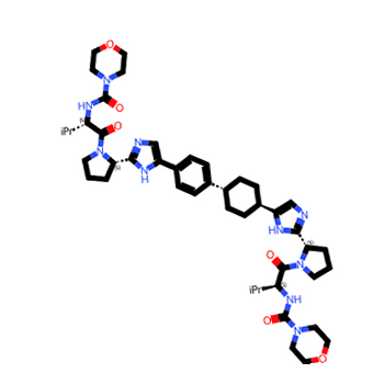 CC(C)[C@H](NC(=O)N1CCOCC1)C(=O)N1CCC[C@H]1c1ncc(-c2ccc([C@H]3CC[C@H](c4cnc([C@@H]5CCCN5C(=O)[C@@H](NC(=O)N5CCOCC5)C(C)C)[nH]4)CC3)cc2)[nH]1